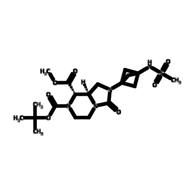 COC(=O)[C@@H]1[C@H]2CN(C34CC(NS(C)(=O)=O)(C3)C4)C(=O)N2CCN1C(=O)OC(C)(C)C